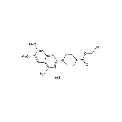 COc1cc2nc(N3CCC(C(=O)OCC(C)(C)C)CC3)nc(N)c2cc1OC.Cl